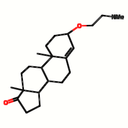 CNCCOC1C=C2CCC3C4CCC(=O)C4(C)CCC3C2(C)CC1